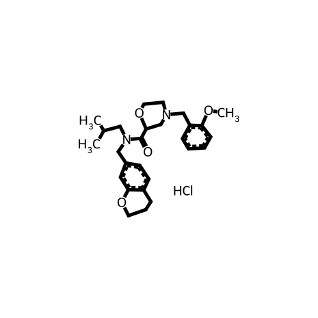 COc1ccccc1CN1CCOC(C(=O)N(Cc2ccc3c(c2)OCCC3)CC(C)C)C1.Cl